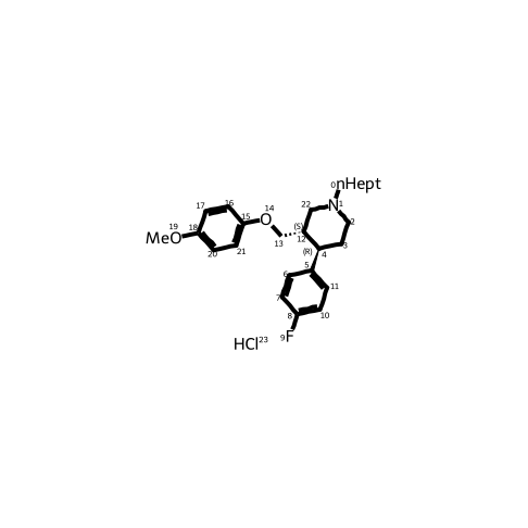 CCCCCCCN1CC[C@@H](c2ccc(F)cc2)[C@H](COc2ccc(OC)cc2)C1.Cl